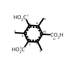 Cc1c(C(=O)O)c(C)c(C(=O)O)c(C)c1C(=O)O